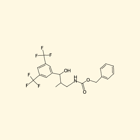 CC(CNC(=O)OCc1ccccc1)C(O)c1cc(C(F)(F)F)cc(C(F)(F)F)c1